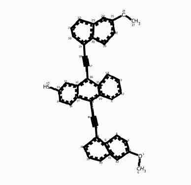 COc1ccc2c(C#Cc3c4ccccc4c(C#Cc4cccc5cc(OC)ccc45)c4cc(S)ccc34)cccc2c1